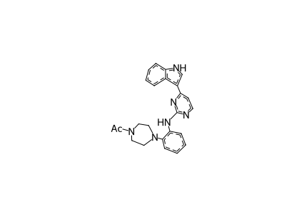 CC(=O)N1CCN(c2ccccc2Nc2nccc(-c3c[nH]c4ccccc34)n2)CC1